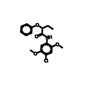 CCC(Oc1ccccc1)C(=O)Nc1cc(OC)c(Cl)cc1OC